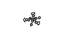 Cc1ccc(-c2cc(-c3c(Nc4ccc5c(c4)C(C)(C)CCC5(C)C)ccc4c3C(C)(C)c3cc5c(cc3-4)C(C)CCC5(C)C)c3c(c2)N(c2cc4c(cc2C)C(C)(C)CCC4(C)C)C2=C(B3)CCC(c3ccccc3)=C2)cc1